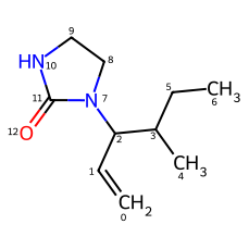 C=CC(C(C)CC)N1CCNC1=O